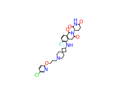 O=C1CCC(N2C(=O)Cc3c(ccc(F)c3NC3CC4(CCN(CCCOc5ccc(Cl)cn5)CC4)C3)C2=O)C(=O)N1